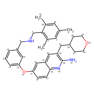 Cc1cc(C)c(CNCc2cccc(Oc3ccc4nc(N)c(CC5CCOCC5)cc4c3)c2)c(C)c1